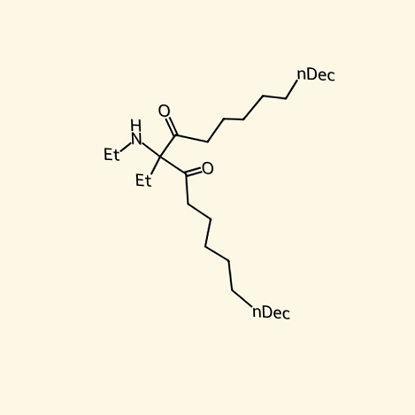 CCCCCCCCCCCCCCCC(=O)C(CC)(NCC)C(=O)CCCCCCCCCCCCCCC